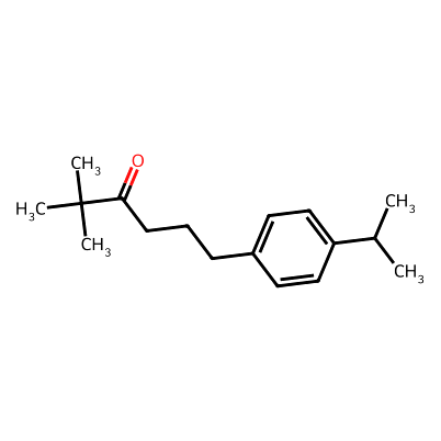 CC(C)c1ccc(CCCC(=O)C(C)(C)C)cc1